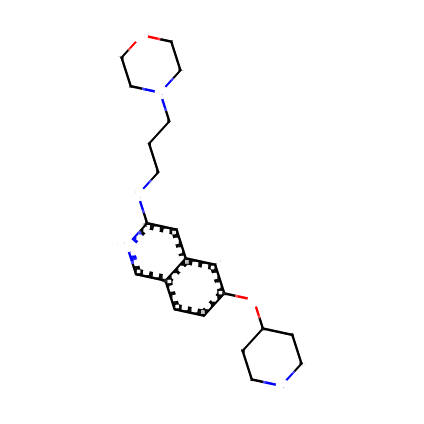 c1cc2cnc(NCCCN3CCOCC3)cc2cc1OC1CCNCC1